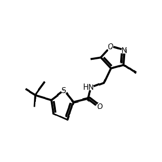 Cc1noc(C)c1CNC(=O)c1ccc(C(C)(C)C)s1